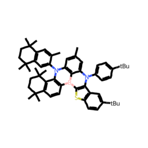 Cc1cc2c3c(c1)N(c1ccc(C(C)(C)C)cc1)c1c(sc4ccc(C(C)(C)C)cc14)B3c1ccc3c(c1N2c1cc2c(cc1C)C(C)(C)CCC2(C)C)C(C)(C)CCC3(C)C